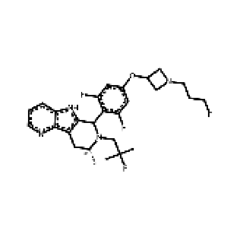 C[C@@H]1Cc2c([nH]c3cccnc23)C(c2c(F)cc(OC3CN(CCCF)C3)cc2F)N1CC(C)(C)F